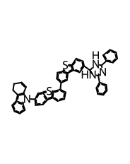 C1=Cc2c(c3ccccc3n2-c2ccc3c(c2)sc2c(-c4ccc5sc6ccc(C7NC(c8ccccc8)=NC(c8ccccc8)N7)cc6c5c4)cccc23)CC1